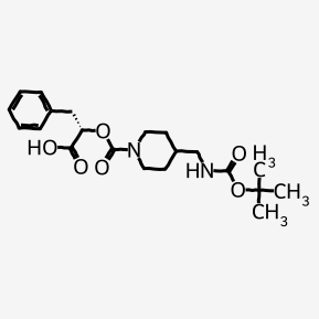 CC(C)(C)OC(=O)NCC1CCN(C(=O)O[C@@H](Cc2ccccc2)C(=O)O)CC1